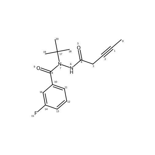 CC#CCC(=O)NN(C(=O)c1cccc(F)c1)C(C)(C)C